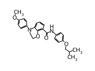 COc1ccc(N2CCOc3c(C(=O)Nc4ccc(OCC(C)C)cc4)cccc32)cc1